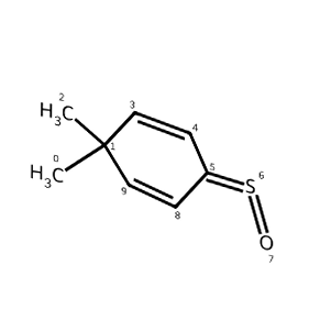 CC1(C)C=CC(=S=O)C=C1